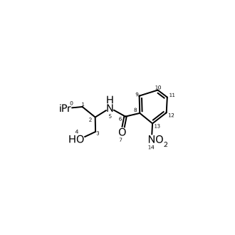 CC(C)CC(CO)NC(=O)c1ccccc1[N+](=O)[O-]